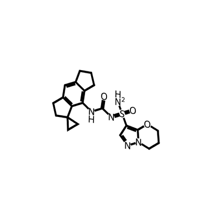 NS(=O)(=NC(=O)Nc1c2c(cc3c1C1(CC3)CC1)CCC2)c1cnn2c1OCCC2